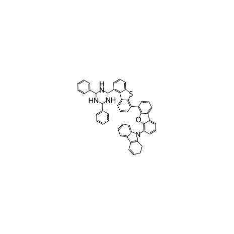 C1=Cc2c(n(-c3cccc4c3oc3c(-c5cccc6c5sc5cccc(C7NC(c8ccccc8)NC(c8ccccc8)N7)c56)cccc34)c3ccccc23)CC1